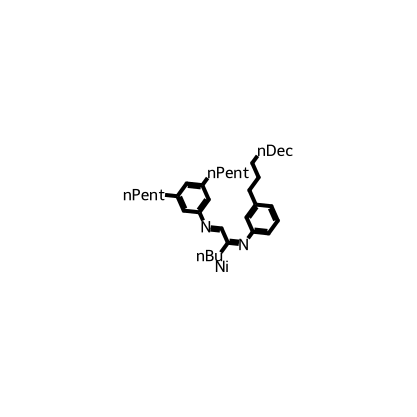 CCCCCCCCCCCCCc1cccc(N=C(C=Nc2cc(CCCCC)cc(CCCCC)c2)CCCC)c1.[Ni]